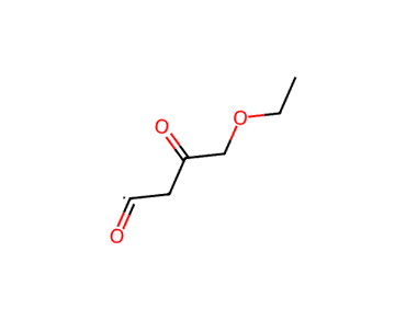 CCOCC(=O)C[C]=O